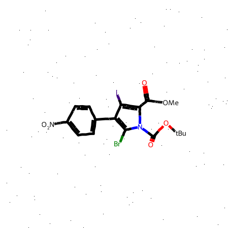 COC(=O)c1c(I)c(-c2ccc([N+](=O)[O-])cc2)c(Br)n1C(=O)OC(C)(C)C